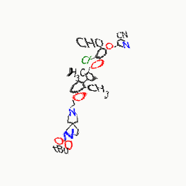 Cc1c(COc2cc(OCc3cncc(C#N)c3)c(C=O)cc2Cl)cccc1-c1cccc(OCCCN2CCC3(CC2)CCN(C(=O)OC(C)(C)C)C3)c1C